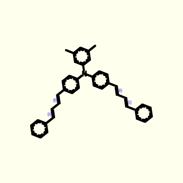 Cc1cc(C)cc(N(c2ccc(/C=C/C=C/c3ccccc3)cc2)c2ccc(/C=C/C=C/c3ccccc3)cc2)c1